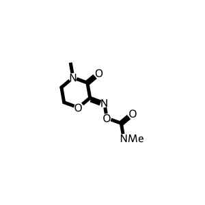 CNC(=O)ON=C1OCCN(C)C1=O